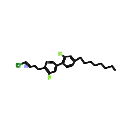 CCCCCCCCc1ccc(-c2ccc(CC/C=C/Cl)c(F)c2)c(F)c1